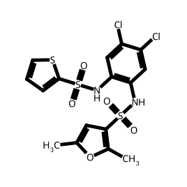 Cc1cc(S(=O)(=O)Nc2cc(Cl)c(Cl)cc2NS(=O)(=O)c2cccs2)c(C)o1